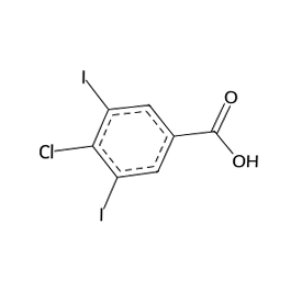 O=C(O)c1cc(I)c(Cl)c(I)c1